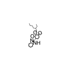 CCCCC(CC)COc1c(OC)ccc(-c2nc3ccccc3[nH]2)c1OC